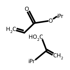 C=C(C(=O)O)C(C)C.C=CC(=O)OC(C)C